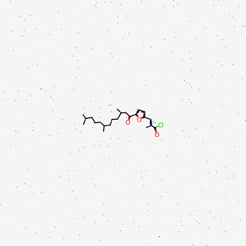 C/C(=C\c1ccc(C(=O)CC(C)CCCC(C)CCCC(C)C)o1)C(=O)Cl